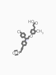 Cc1cc(OC/C=C(\c2ccc(Cl)cc2)c2ccc(C#CCN3CCOCC3)cc2)ccc1CCC(=O)O